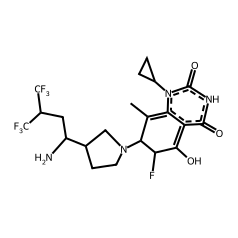 CC1=c2c(c(=O)[nH]c(=O)n2C2CC2)=C(O)C(F)C1N1CCC(C(N)CC(C(F)(F)F)C(F)(F)F)C1